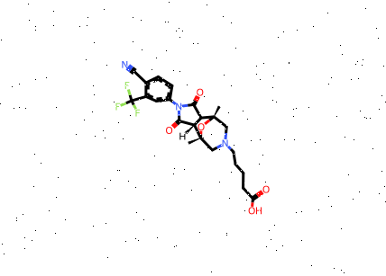 C[C@]12CN(CCCCC(=O)O)C[C@](C)(O1)C1C(=O)N(c3ccc(C#N)c(C(F)(F)F)c3)C(=O)[C@H]12